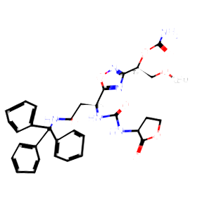 CC(C)(C)OC[C@H](OC(N)=O)c1noc([C@H](CC(=O)NC(c2ccccc2)(c2ccccc2)c2ccccc2)NC(=O)NC2CCOC2=O)n1